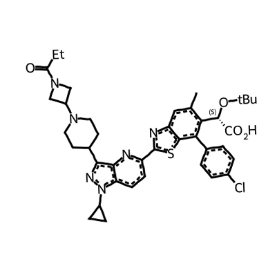 CCC(=O)N1CC(N2CCC(c3nn(C4CC4)c4ccc(-c5nc6cc(C)c([C@H](OC(C)(C)C)C(=O)O)c(-c7ccc(Cl)cc7)c6s5)nc34)CC2)C1